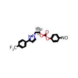 CC(C)(C)[C@@H](Cn1ccc(-c2ccc(C(F)(F)F)cc2)n1)OC(=O)Oc1ccc(N=O)cc1